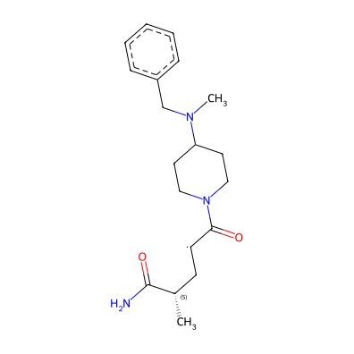 C[C@@H](C[CH]C(=O)N1CCC(N(C)Cc2ccccc2)CC1)C(N)=O